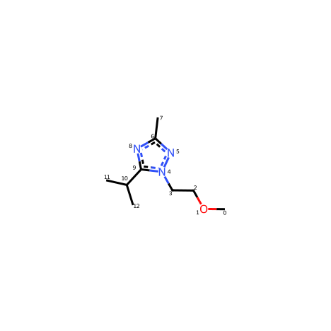 COCCn1nc(C)nc1C(C)C